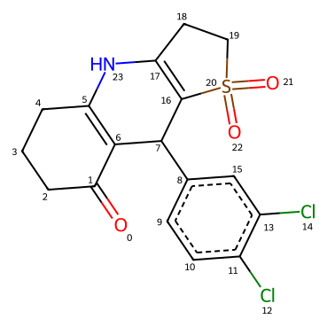 O=C1CCCC2=C1C(c1ccc(Cl)c(Cl)c1)C1=C(CCS1(=O)=O)N2